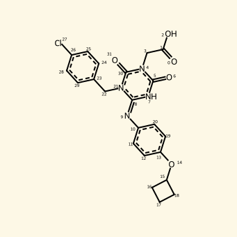 O=C(O)Cn1c(=O)[nH]/c(=N\c2ccc(OC3CCC3)cc2)n(Cc2ccc(Cl)cc2)c1=O